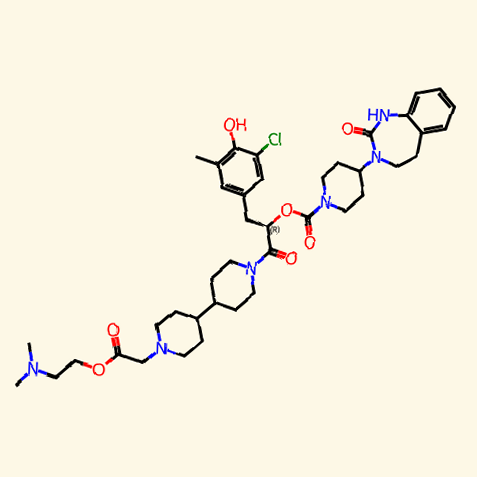 Cc1cc(C[C@@H](OC(=O)N2CCC(N3CCc4ccccc4NC3=O)CC2)C(=O)N2CCC(C3CCN(CC(=O)OCCN(C)C)CC3)CC2)cc(Cl)c1O